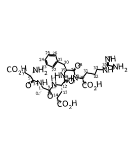 C[C@H](NC(=O)[C@@H](N)CC(=O)O)C(=O)N[C@@H](CCC(=O)O)C(=O)N[C@@H](Cc1ccccc1)C(=O)N[C@@H](CCCNC(=N)N)C(=O)O